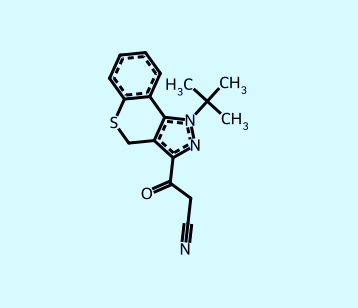 CC(C)(C)n1nc(C(=O)CC#N)c2c1-c1ccccc1SC2